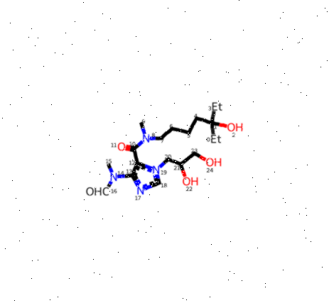 CCC(O)(CC)CCCCN(C)C(=O)c1c(N(C)C=O)ncn1CC(O)CO